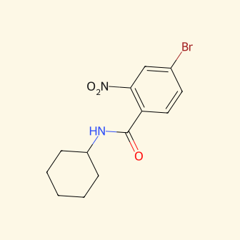 O=C(NC1CCCCC1)c1ccc(Br)cc1[N+](=O)[O-]